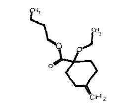 C=C1CCC(OCC)(C(=O)OCCCC)CC1